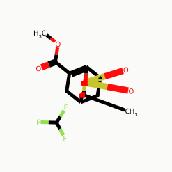 COC(=O)C1=C2CCC(C1)CC(C)S(=O)(=O)O2.FC(F)F